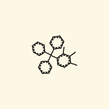 Cc1[c]cc(C(c2ccccc2)(c2ccccc2)c2ccccc2)c(C)c1C